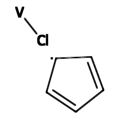 [CH]1C=CC=C1.[Cl][V]